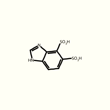 O=S(=O)(O)c1ccc2[nH]cnc2c1S(=O)(=O)O